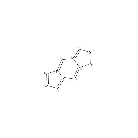 [CH]1SC=c2cc3c(cc21)=CC=C3